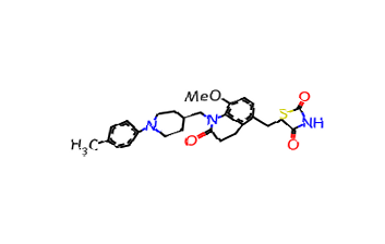 COc1ccc(CC2SC(=O)NC2=O)c2c1N(CC1CCN(c3ccc(C)cc3)CC1)C(=O)CC2